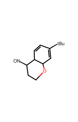 CC(C)(C)C1=CC2OCCC(N=O)C2C=C1